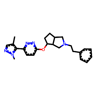 Cc1cnn(C)c1-c1ccc(OC2CCC3CN(CCc4ccccc4)CC32)nn1